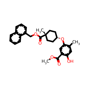 COC(=O)c1cc(O[C@H]2CC[C@@](C)(C(=O)OCc3cccc4ccccc34)CC2)c(C)cc1O